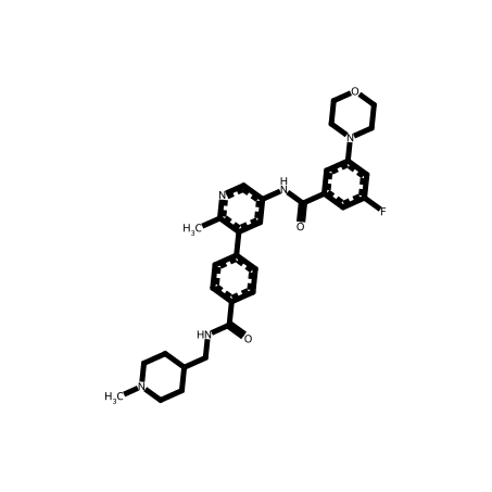 Cc1ncc(NC(=O)c2cc(F)cc(N3CCOCC3)c2)cc1-c1ccc(C(=O)NCC2CCN(C)CC2)cc1